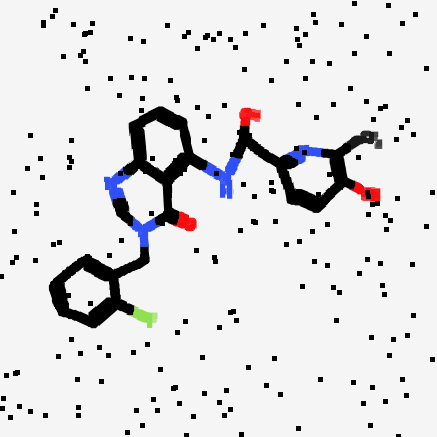 O=c1c2c(NC(O)c3ccc(O)c(C(F)(F)F)n3)cccc2ncn1Cc1ccccc1F